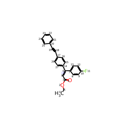 CCOC(=O)/C=C(\c1ccc(F)cc1)c1ccc(C#Cc2ccccc2)cc1